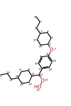 CCCC1CCC(Oc2ccc(C(OO)C3CCC(CCC)CC3)cc2)CC1